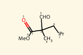 COC(=O)C(C)(C=O)CC(C)C